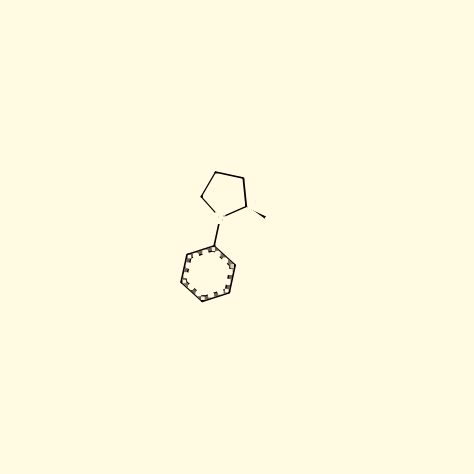 O=[C][C@@H]1CCCN1c1ccccc1